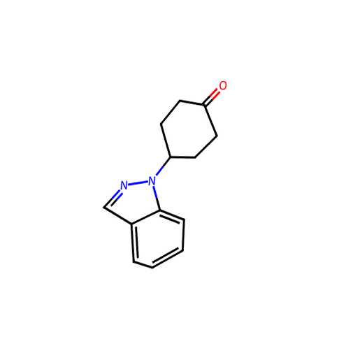 O=C1CCC(n2ncc3ccccc32)CC1